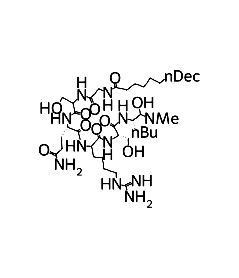 CCCCCCCCCCCCCCCC(=O)NCC(=O)NC(CO)C(=O)N[C@@H](CCC(N)=O)C(=O)NC(CCCCNC(=N)N)C(=O)N[C@@H](CO)C(=O)N[C@@H](CCCC)C(O)NC